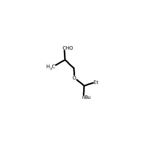 CCCCC(CC)OCC(C)C=O